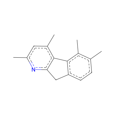 Cc1cc(C)c2c(n1)Cc1ccc(C)c(C)c1-2